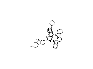 C=C/C=C\C1=C(C)C(C)(C)c2cc(-c3nc(-c4ccccc4)nc(-n4c5ccccc5c5ccc6c7ccccc7n(-c7cccc8nc(-c9ccccc9)sc78)c6c54)n3)ccc21